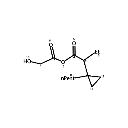 CCCCCC1(C(CC)C(=O)OC(=O)CO)CC1